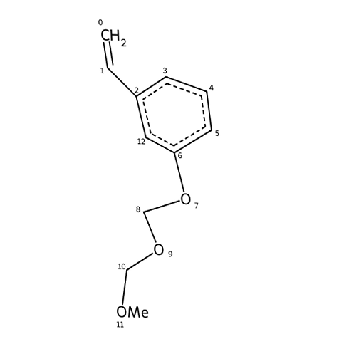 C=Cc1cccc(OCOCOC)c1